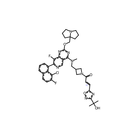 CN(CC1CN(C(=O)/C=C/c2nc(C(C)(C)O)no2)C1)c1nc(OCC23CCCN2CCC3)nc2c(F)c(-c3cccc4ccc(F)c(Cl)c34)ncc12